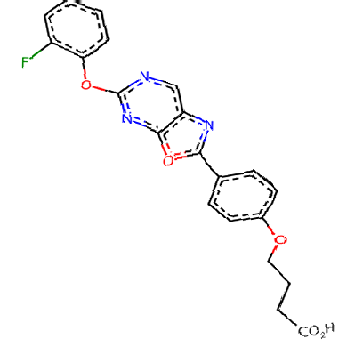 O=C(O)CCCOc1ccc(-c2nc3cnc(Oc4ccccc4F)nc3o2)cc1